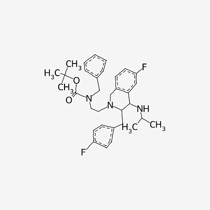 CC(C)NC1c2cc(F)ccc2CN(CCN(Cc2ccccc2)C(=O)OC(C)(C)C)C1Cc1ccc(F)cc1